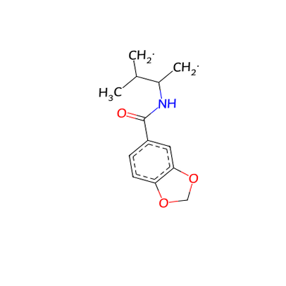 [CH2]C(C)C([CH2])NC(=O)c1ccc2c(c1)OCO2